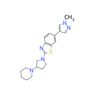 Cn1cc(-c2ccc3nc(N4CCC(N5CCCCC5)C4)sc3c2)cn1